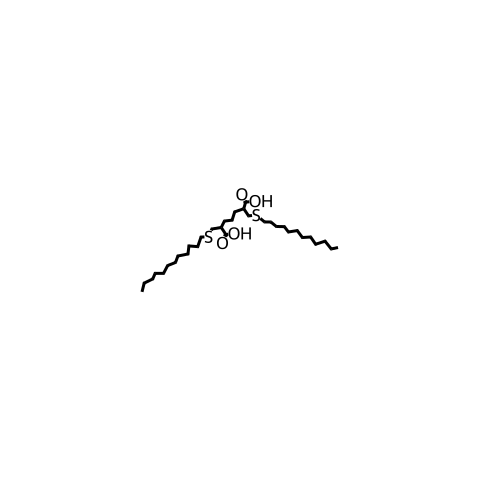 CCCCCCCCCCCCSCC(CCCC(CSCCCCCCCCCCCC)C(=O)O)C(=O)O